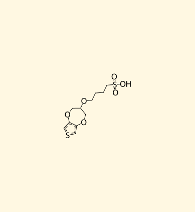 O=S(=O)(O)CCCCOC1COc2cscc2OC1